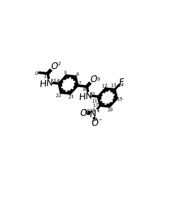 CC(=O)Nc1ccc(C(=O)Nc2cc(F)ccc2[N+](=O)[O-])cc1